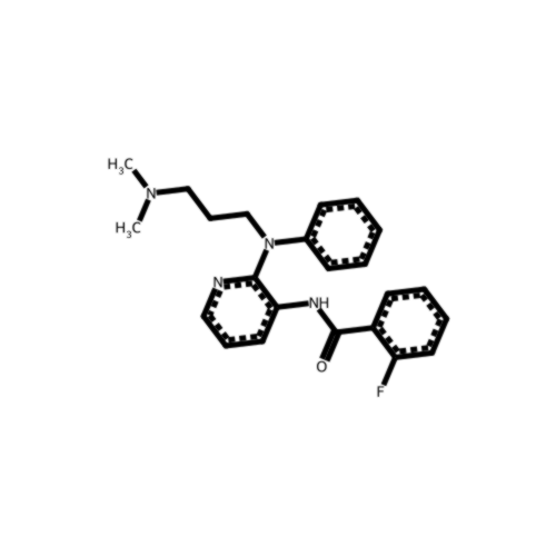 CN(C)CCCN(c1ccccc1)c1ncccc1NC(=O)c1ccccc1F